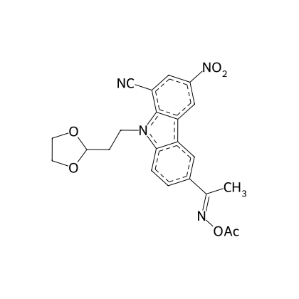 CC(=O)O/N=C(\C)c1ccc2c(c1)c1cc([N+](=O)[O-])cc(C#N)c1n2CCC1OCCO1